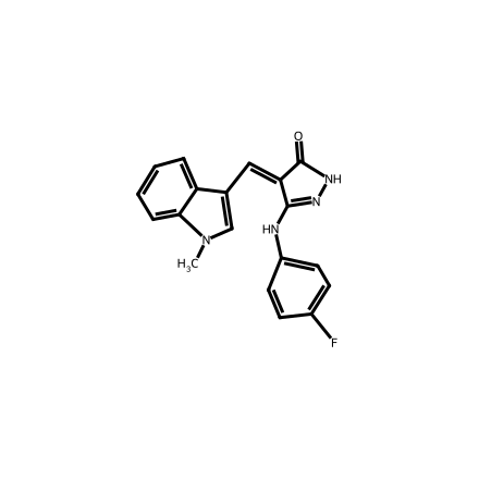 Cn1cc(C=C2C(=O)NN=C2Nc2ccc(F)cc2)c2ccccc21